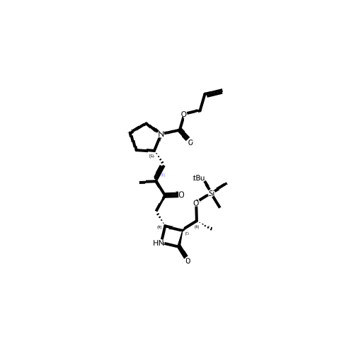 C=CCOC(=O)N1CCC[C@H]1/C=C(\C)C(=O)C[C@H]1NC(=O)[C@@H]1[C@@H](C)O[Si](C)(C)C(C)(C)C